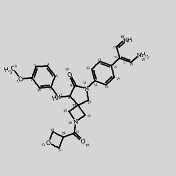 COc1cccc(NC2C(=O)N(c3ccc(/C(C=N)=C/N)cc3)CC23CN(C(=O)C2COC2)C3)c1